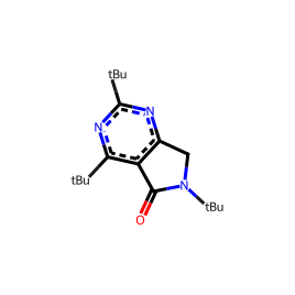 CC(C)(C)c1nc2c(c(C(C)(C)C)n1)C(=O)N(C(C)(C)C)C2